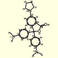 CN(C)c1ccc(C2(c3ccc(N(C)C)cc3)OC(=O)c3cc(N4CCCC4)ccc32)cc1